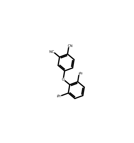 CC(C)c1cccc(C(C)C)c1Oc1ccc(C#N)c(C#N)c1